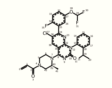 C=CC(=O)N1CCN(c2nc(=O)n(-c3ccccc3C(C)C)c3nc(-c4cc(OC(F)F)ccc4F)c(Cl)cc23)[C@@H](C)C1